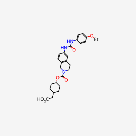 CCOc1ccc(NC(=O)Nc2ccc3c(c2)CCN(C(=O)O[C@H]2CC[C@H](CC(=O)O)CC2)C3)cc1